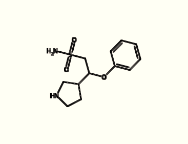 NS(=O)(=O)CC(Oc1ccccc1)C1CCNC1